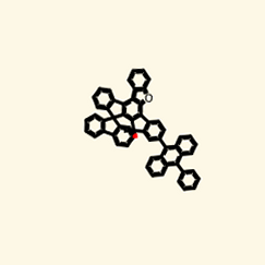 CC1(C)c2cc(-c3c4ccccc4c(-c4ccccc4)c4ccccc34)ccc2-c2c1c1c(c3c2oc2ccccc23)-c2ccccc2C12c1ccccc1-c1ccccc12